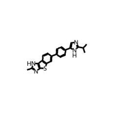 Cc1nc2sc3cc(-c4ccc(-c5cnc(C(C)C)[nH]5)cc4)ccc3c2[nH]1